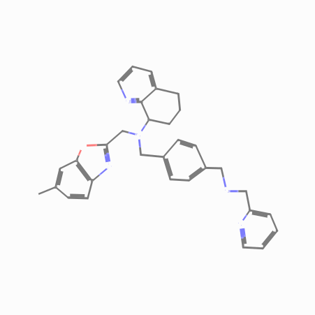 Cc1ccc2nc(CN(Cc3ccc(CNCc4ccccn4)cc3)C3CCCc4cccnc43)oc2c1